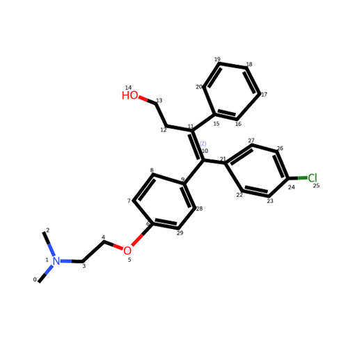 CN(C)CCOc1ccc(/C(=C(\CCO)c2ccccc2)c2ccc(Cl)cc2)cc1